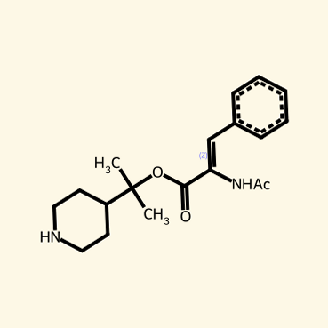 CC(=O)N/C(=C\c1ccccc1)C(=O)OC(C)(C)C1CCNCC1